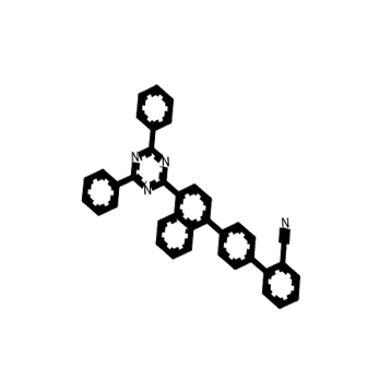 N#Cc1ccccc1-c1ccc(-c2ccc(-c3nc(-c4ccccc4)nc(-c4ccccc4)n3)c3ccccc23)cc1